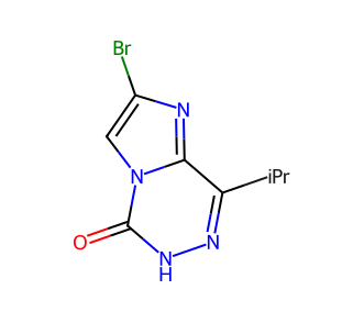 CC(C)c1n[nH]c(=O)n2cc(Br)nc12